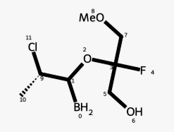 BC(OC(F)(CO)COC)[C@H](C)Cl